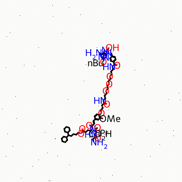 CCCCOc1nc(N)c2nc(O)n(Cc3ccc(C(=O)NCCCOCCOCCOCCCNC(=O)CCCOc4ccc(/C=C/C(=O)N(C(=O)[C@H](NC(=O)CN)C(C)C)[C@H](CCC(=O)OCCCCC(C5CCCCC5)C5CCCCC5)C(=O)O)cc4OC)cc3)c2n1